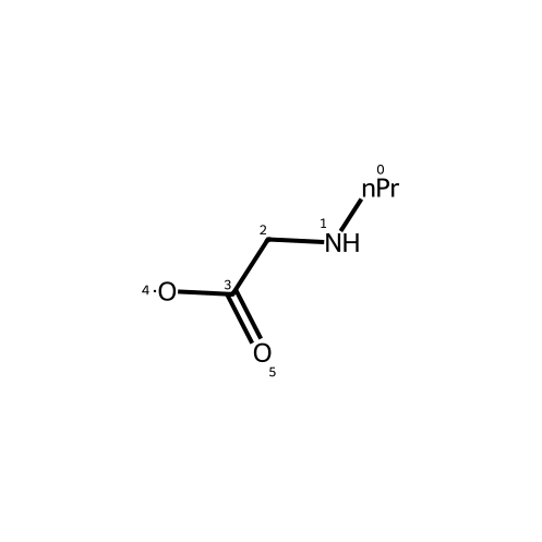 CCCNCC([O])=O